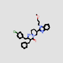 COCCCn1c(C2CCCN(C(=O)C(Cc3ccccc3)C(N)Cc3ccc(Cl)cc3)C2)nc2ccccc21